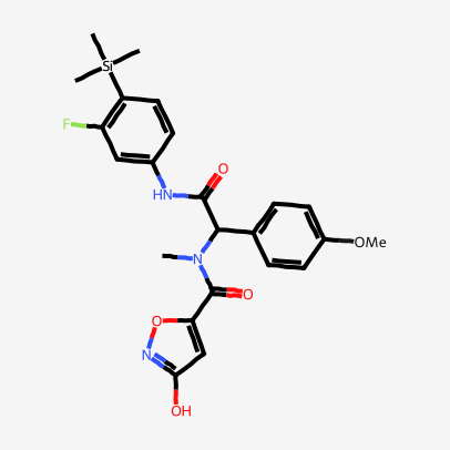 COc1ccc(C(C(=O)Nc2ccc([Si](C)(C)C)c(F)c2)N(C)C(=O)c2cc(O)no2)cc1